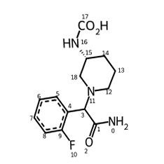 NC(=O)C(c1ccccc1F)N1CCC[C@@H](NC(=O)O)C1